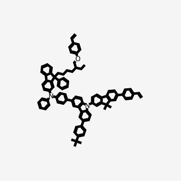 C=Cc1ccc(OCC(CC)CCCCC2(c3ccccc3)c3ccccc3-c3ccc(N(c4ccccc4)c4ccc(-c5ccc6c(c5)c5cc(-c7ccc(C(C)(C)C)cc7)ccc5n6-c5ccc6c(c5)C(C)(C)c5cc(-c7ccc(C=C)cc7)ccc5-6)cc4)cc32)cc1